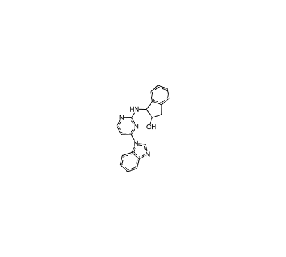 OC1Cc2ccccc2C1Nc1nccc(-n2cnc3ccccc32)n1